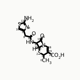 CC1S[C@@H]2C(NC(=O)Cc3csc(N)n3)C(=O)N2C=C1C(=O)O